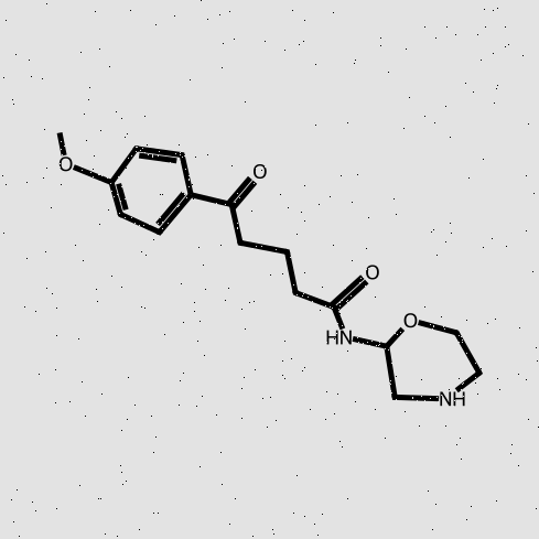 COc1ccc(C(=O)CCCC(=O)NC2CNCCO2)cc1